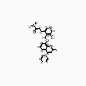 C=CN(/C=C\C)c1cc(C)nc2c(OCc3c(Cl)cncc3CCC(=O)N(C)C)cccc12